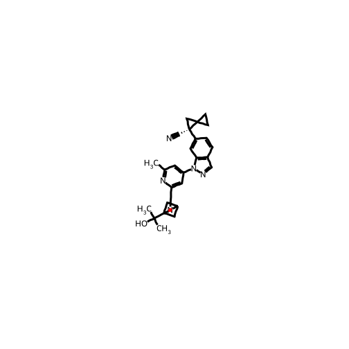 Cc1cc(-n2ncc3ccc([C@@]4(C#N)CC45CC5)cc32)cc(N2CC3(C(C)(C)O)CC2C3)n1